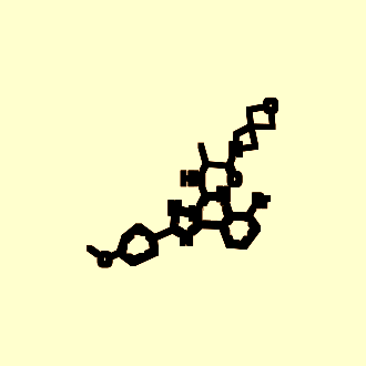 COc1ccc(-c2nc3c4cccc(Br)c4nc(NC(C)C(=O)N4CC5(COC5)C4)n3n2)cc1